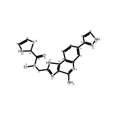 CCN(Cc1nc2c(N)nc3cc(-c4cc[nH]n4)ccc3c2[nH]1)C(=O)C1NC=CS1